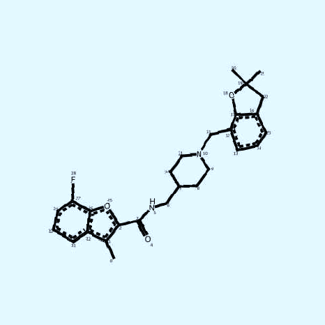 Cc1c(C(=O)NCC2CCN(Cc3cccc4c3OC(C)(C)C4)CC2)oc2c(F)cccc12